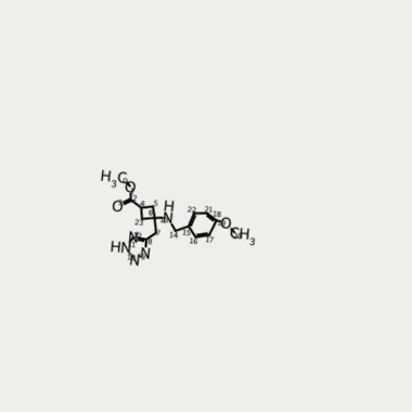 COC(=O)C1CC(Cc2nn[nH]n2)(NCc2ccc(OC)cc2)C1